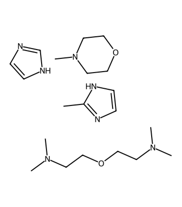 CN(C)CCOCCN(C)C.CN1CCOCC1.Cc1ncc[nH]1.c1c[nH]cn1